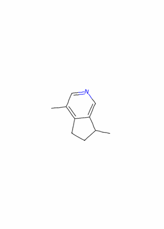 Cc1cncc2c1CCC2C